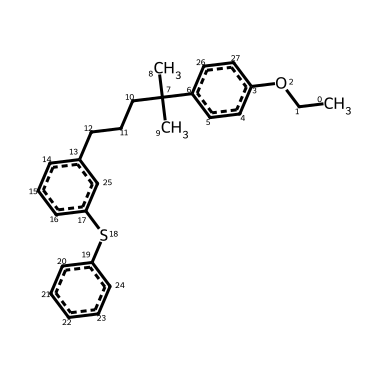 CCOc1ccc(C(C)(C)CCCc2cccc(Sc3ccccc3)c2)cc1